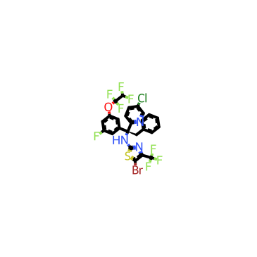 Fc1cc(OC(F)(F)C(F)F)cc([C@@](Cc2ccccc2)(Nc2nc(C(F)(F)F)c(Br)s2)c2ccc(Cl)cn2)c1